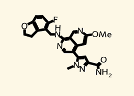 COc1cc2c(-c3cc(C(N)=O)nn3C)cnc(NCc3c(F)ccc4c3CCO4)c2cn1